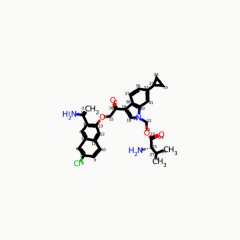 C=C(N)c1cc2cc(Cl)ccc2cc1OCC(=O)c1cn(COC(=O)[C@@H](N)C(C)C)c2cc(C3CC3)ccc12